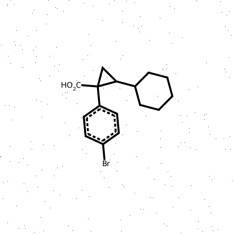 O=C(O)C1(c2ccc(Br)cc2)CC1C1CCCCC1